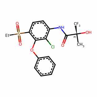 CCS(=O)(=O)c1ccc(NC(=O)[C@@](C)(O)C(F)(F)F)c(Cl)c1Oc1ccccc1